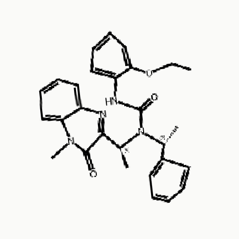 CCOc1ccccc1NC(=O)N([C@H](C)c1ccccc1)[C@@H](C)c1nc2ccccc2n(C)c1=O